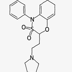 O=S1(=O)C(CCN2CCCC2)OC2=CCCC=C2N1c1ccccc1